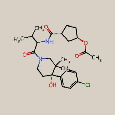 CC(=O)O[C@@H]1CC[C@@H](C(=O)N[C@@H](C(=O)N2CC[C@](O)(c3ccc(Cl)cc3)C(C)(C)C2)C(C)C)C1